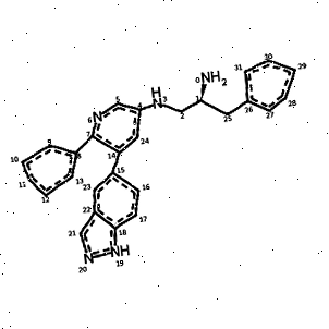 N[C@H](CNc1cnc(-c2ccccc2)c(-c2ccc3[nH]ncc3c2)c1)Cc1ccccc1